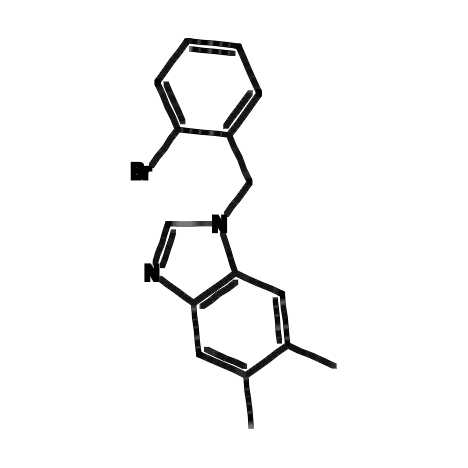 Cc1cc2ncn(Cc3ccccc3Br)c2cc1C